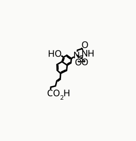 O=C(O)CCC=Cc1ccc2c(O)cc(N3CC(=O)NS3(=O)=O)cc2c1